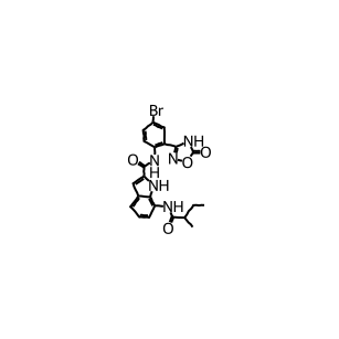 CCC(C)C(=O)Nc1cccc2cc(C(=O)Nc3ccc(Br)cc3-c3noc(=O)[nH]3)[nH]c12